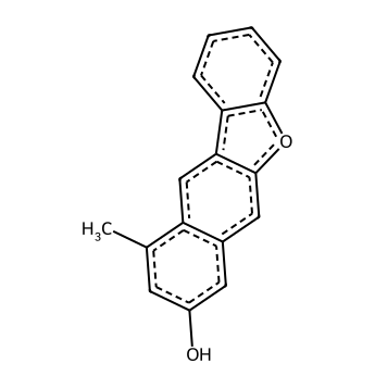 Cc1cc(O)cc2cc3oc4ccccc4c3cc12